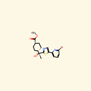 CCCCOC(=O)[C@H]1CC[C@H]([C@@](C)(O)c2ncc(-c3cccc(Br)n3)s2)CC1